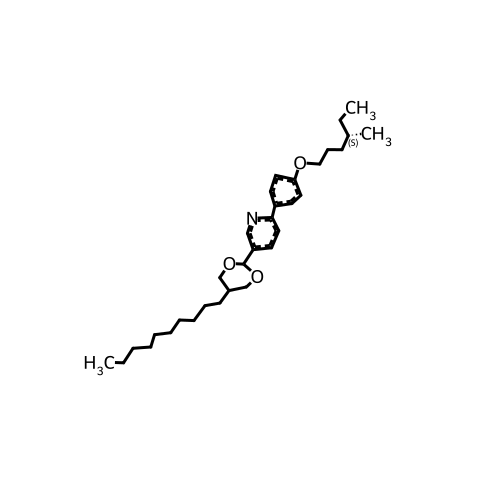 CCCCCCCCCCC1COC(c2ccc(-c3ccc(OCCC[C@@H](C)CC)cc3)nc2)OC1